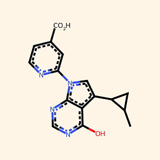 CC1CC1c1cn(-c2cc(C(=O)O)ccn2)c2ncnc(O)c12